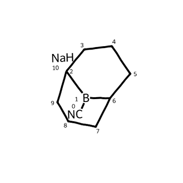 N#CB1C2CCCC1CCC2.[NaH]